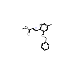 COC(=O)/C=C/c1ncc(C)cc1OCc1ccccc1